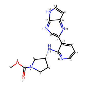 COC(=O)N1CC[C@@H](Nc2ncccc2-c2cnc3[nH]ccc3n2)C1